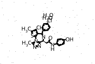 Cc1sc2c(c1C)C(c1ccc(Cl)cc1)=N[C@@H](CC(=O)Nc1ccc(O)cc1)c1nnc(C)n1-2.O.O